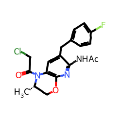 CC(=O)Nc1nc2c(cc1Cc1ccc(F)cc1)N(C(=O)CCl)[C@@H](C)CO2